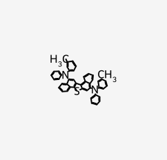 Cc1cccc(N(c2ccccc2)c2cc3c(sc4cc(N(c5ccccc5)c5cccc(C)c5)c5ccccc5c43)c3ccccc23)c1